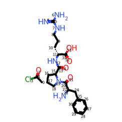 CC(=O)Cl.N=C(N)NCCC[C@@H](NC(=O)C1CCCN1C(=O)C(N)Cc1ccccc1)C(=O)O